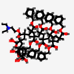 CCN(CC)CCOC(=O)C(C)(CC(C)(CC(C)(CC(C)(C)C(=O)O)C(=O)O)C(=O)O)CC(C)(CC(C)(CC(C)(CC(C)(CC(C)(CC(C)(CC(C)(CC)C(=O)OCc1ccccc1)C(=O)OCc1ccccc1)C(=O)OCc1ccccc1)C(=O)OCc1ccccc1)C(=O)OCc1ccccc1)C(=O)OCc1ccccc1)C(=O)OCc1ccccc1